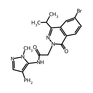 CC(C)c1nn(CC(=O)Nc2c(P)cnn2C)c(=O)c2ccc(Br)cc12